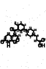 Cc1ccc(N2CCN(CCC(=O)O)CC2)cc1C(=O)N(C=O)C1CCC(=O)NC1=O